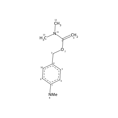 C=C(OCc1ccc(NC)cc1)N(C)C